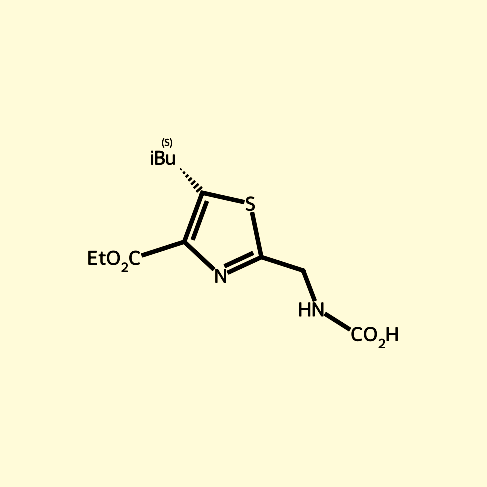 CCOC(=O)c1nc(CNC(=O)O)sc1[C@@H](C)CC